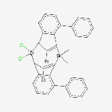 CCC1=C2c3c(-c4ccccc4)cccc3[CH]1[Zr]([Cl])([Cl])[CH]1C(CC)=C(c3c(-c4ccccc4)cccc31)[Si]2(C)C